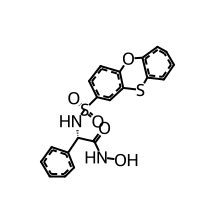 O=C(NO)[C@@H](NS(=O)(=O)c1ccc2c(c1)Sc1ccccc1O2)c1ccccc1